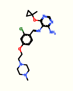 CN1CCN(CCOc2ccc(C=Nc3c(N)ncnc3OC3(C)CC3)c(Cl)c2)CC1